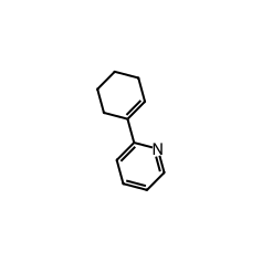 C1=C(c2ccccn2)CCCC1